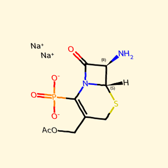 CC(=O)OCC1=C(P(=O)([O-])[O-])N2C(=O)[C@@H](N)[C@@H]2SC1.[Na+].[Na+]